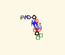 CCn1c(Oc2cccc(C3CCN(C(C)C)CC3)c2)nnc1[C@@H](C)NS(=O)(=O)c1ccc(Cl)c(Cl)c1